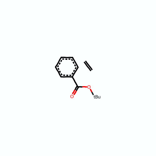 C=C.CC(C)(C)OC(=O)c1ccccc1